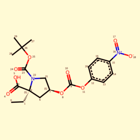 CC[C@@]1(C(=O)O)C[C@H](OC(=O)Oc2ccc([N+](=O)[O-])cc2)CN1C(=O)OC(C)(C)C